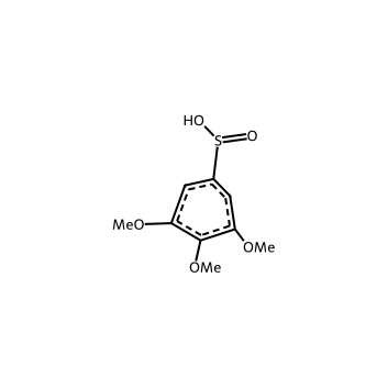 COc1cc(S(=O)O)cc(OC)c1OC